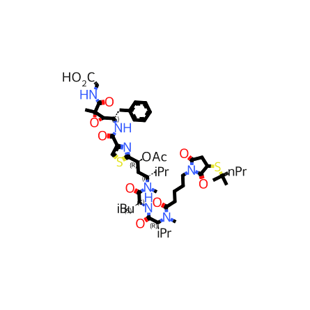 CCCC(C)(C)SC1CC(=O)N(CCCCC(=O)N(C)[C@@H](C(=O)N[C@H](C(=O)N(C)[C@H](C[C@@H](OC(C)=O)c2nc(C(=O)N[C@@H](Cc3ccccc3)C3OC3(C)C(=O)NCC(=O)O)cs2)C(C)C)[C@@H](C)CC)C(C)C)C1=O